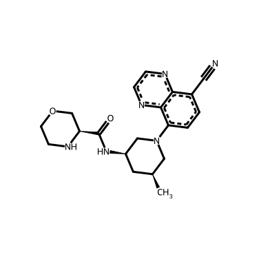 C[C@H]1C[C@@H](NC(=O)[C@@H]2COCCN2)CN(c2ccc(C#N)c3nccnc23)C1